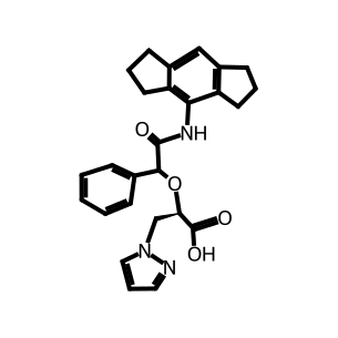 O=C(Nc1c2c(cc3c1CCC3)CCC2)C(O[C@H](Cn1cccn1)C(=O)O)c1ccccc1